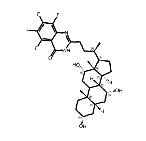 C[C@H](CCc1nc2c(F)c(F)c(F)c(F)c2c(=O)[nH]1)[C@H]1CC[C@H]2[C@H]3C(C[C@H](O)[C@]12C)[C@@]1(C)CC[C@@H](O)C[C@H]1C[C@H]3O